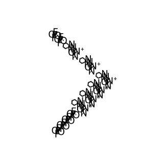 CN(C)C(On1nnc2ccccc21)=[N+](C)C.CN(C)C(On1nnc2ccccc21)=[N+](C)C.CN(C)C(On1nnc2ccccc21)=[N+](C)C.CN(C)C(On1nnc2ccccc21)=[N+](C)C.CN(C)C(On1nnc2ccccc21)=[N+](C)C.CN(C)C(On1nnc2ccccc21)=[N+](C)C.O=P([O-])(F)F.O=P([O-])(F)F.O=P([O-])(F)F.O=P([O-])(F)F.O=P([O-])(F)F.O=P([O-])(F)F